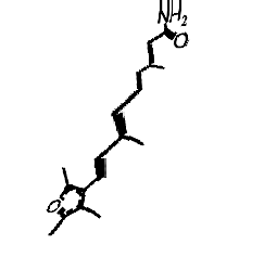 CC(/C=C/c1c(C)oc(C)c1C)=C\C=C\C(C)=C\C(N)=O